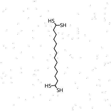 S[C](S)CCCCCCCCCCCC[C](S)S